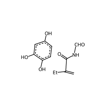 C=C(CC)C(=O)NC=O.Oc1ccc(O)c(O)c1